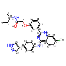 CC[C@@H](C)NC(=O)COc1cccc(-c2nc(Nc3ccc(-c4cn[nH]c4)cc3)c3ccc(F)cc3n2)c1